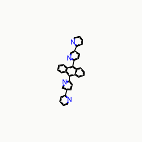 c1ccc(-c2ccc(-c3c4ccccc4c(-c4ccc(-c5ccccn5)cn4)c4ccccc34)nc2)nc1